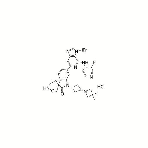 CC(C)n1cnc2cc(-c3ccc4c(c3)N([C@H]3C[C@@H](N5CC(C)(C)C5)C3)C(=O)C43CCNCC3)nc(Nc3ccncc3F)c21.Cl